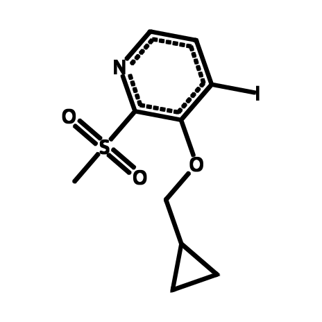 CS(=O)(=O)c1nccc(I)c1OCC1CC1